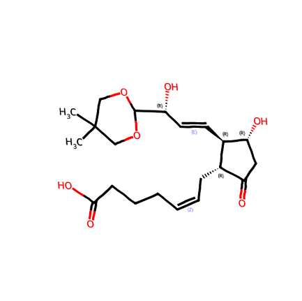 CC1(C)COC([C@H](O)/C=C/[C@H]2[C@H](O)CC(=O)[C@@H]2C/C=C\CCCC(=O)O)OC1